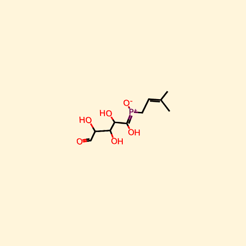 CC(C)=CC/[P+]([O-])=C(\O)C(O)C(O)C(O)C=O